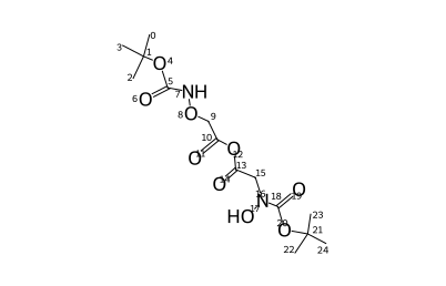 CC(C)(C)OC(=O)NOCC(=O)OC(=O)CN(O)C(=O)OC(C)(C)C